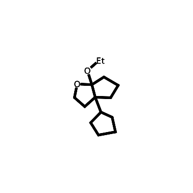 CCOC12CCCC1(C1CCCC1)CCO2